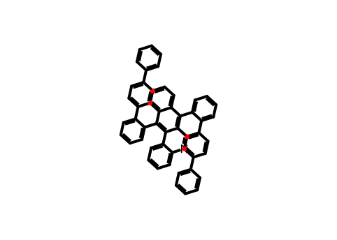 c1ccc(-c2ccc(-c3ccccc3-c3c4ccccc4c(-c4ccccc4-c4ccc(-c5ccccc5)cc4)c4c3cnc3ccccc34)cc2)cc1